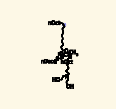 CCCCCCCC/C=C\CCCCCCCC(OCC(CCCCCCCC)SSCCCCCCCCCC)O[Si](C)(C)OCCCCCCN(CCO)CCO